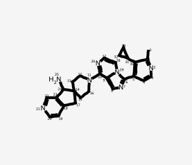 Cc1nccc(-c2ncc3c(N4CCC5(CC4)Cc4ccncc4C5N)nccn23)c1C1CC1